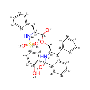 O=C(N[C@@H](COC(=O)[C@H](Cc1ccccc1)NS(=O)(=O)c1ccc(O)cc1)Cc1ccccc1)c1ccccc1